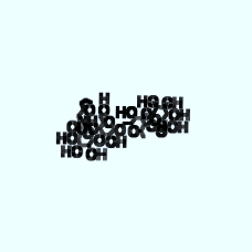 CC1OC(COC2OC(CO)C(O)C(OC3OC(C(=O)NCc4ccco4)C(O)C(O)C3O)C2O)C(O)C(OC2OC(C(=O)O)C(O)C(O)C2O)C1O